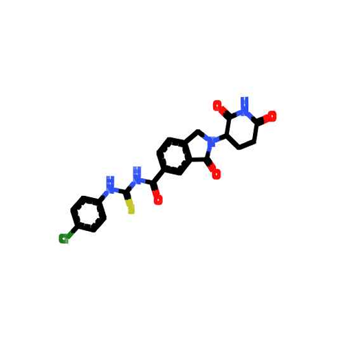 O=C1CCC(N2Cc3ccc(C(=O)NC(=S)Nc4ccc(Cl)cc4)cc3C2=O)C(=O)N1